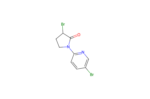 O=C1C(Br)CCN1c1ccc(Br)cn1